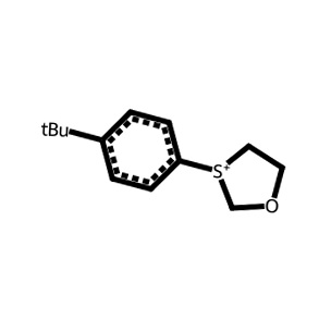 CC(C)(C)c1ccc([S+]2CCOC2)cc1